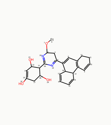 CCOC1CC(C2=CC3=C(C=CCC3)C3C=CC=CC23)=NC(C2C(O)C=C(O)CC2O)=N1